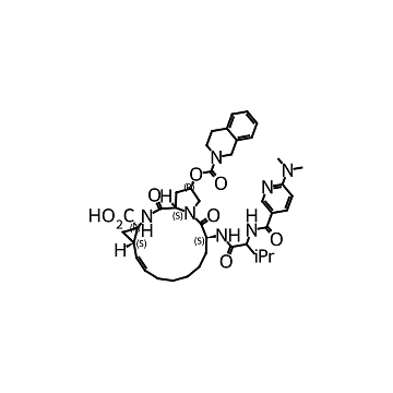 CC(C)C(NC(=O)c1ccc(N(C)C)nc1)C(=O)N[C@H]1CCCCCC=C[C@@H]2C[C@@]2(C(=O)O)NC(=O)[C@@H]2C[C@@H](OC(=O)N3CCc4ccccc4C3)CN2C1=O